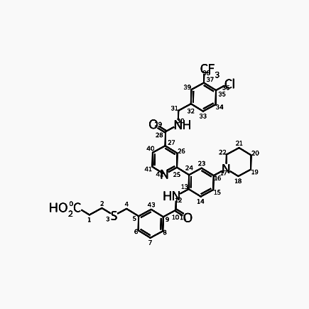 O=C(O)CCSCc1cccc(C(=O)Nc2ccc(N3CCCCC3)cc2-c2cc(C(=O)NCc3ccc(Cl)c(C(F)(F)F)c3)ccn2)c1